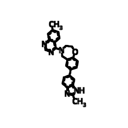 Cc1ccc2c(N3CCOc4ccc(-c5ccc6nc(C)[nH]c6c5)cc4C3)ncnc2c1